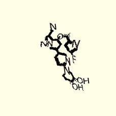 C[C@@H](Oc1cc(-c2ccc(N3CC[C@@H](O)[C@@H](O)C3)nc2)cn2ncc(C#N)c12)c1ccc(F)cn1